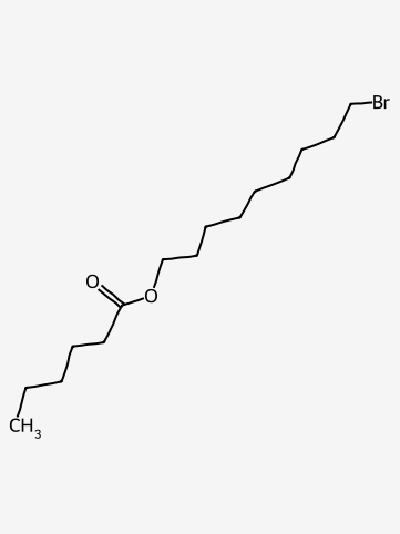 CCCCCC(=O)OCCCCCCCCCBr